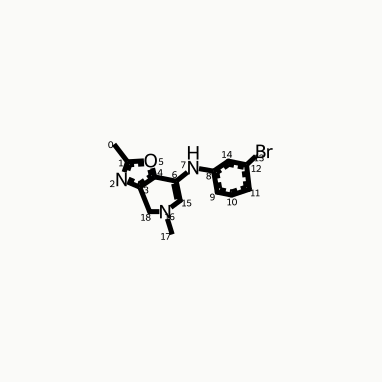 Cc1nc2c(o1)C(Nc1cccc(Br)c1)=CN(C)C2